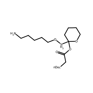 CCCCCCCCCCCC(=O)OC1([SiH2]OCCCCCN)CCCCO1